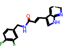 O=C(/C=C/c1c[nH]c2ncccc12)NCc1ccc(F)c(F)c1